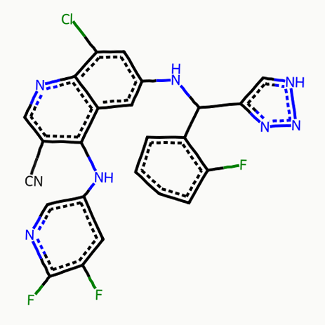 N#Cc1cnc2c(Cl)cc(NC(c3c[nH]nn3)c3ccccc3F)cc2c1Nc1cnc(F)c(F)c1